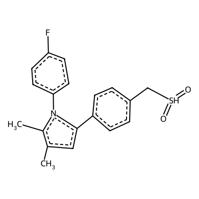 Cc1cc(-c2ccc(C[SH](=O)=O)cc2)n(-c2ccc(F)cc2)c1C